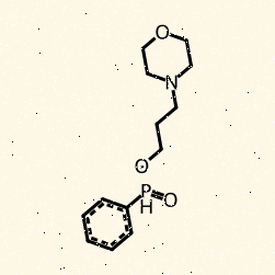 O=[PH](OCCCN1CCOCC1)c1ccccc1